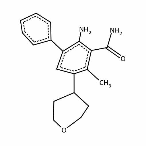 Cc1c(C2CCOCC2)cc(-c2ccccc2)c(N)c1C(N)=O